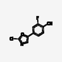 N#Cc1ccc(-c2cnc(Cl)o2)cc1F